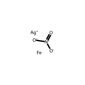 O=[N+]([O-])[O-].[Ag+].[Fe]